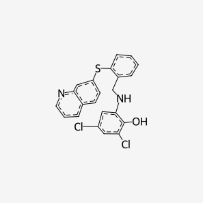 Oc1c(Cl)cc(Cl)cc1NCc1ccccc1Sc1ccc2cccnc2c1